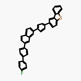 Fc1ccc(-c2ccc(-c3ccc4ccc(-c5ccc(-c6ccc7sc8ccccc8c7c6)cc5)cc4c3)cc2)cc1